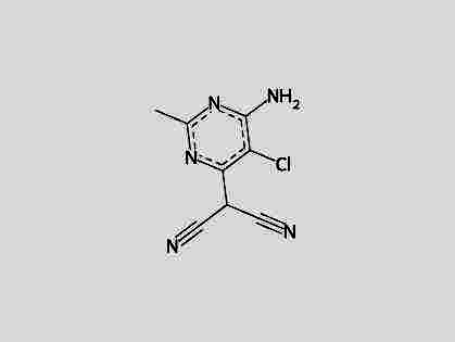 Cc1nc(N)c(Cl)c(C(C#N)C#N)n1